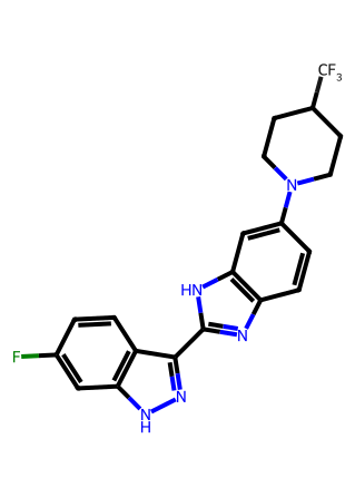 Fc1ccc2c(-c3nc4ccc(N5CCC(C(F)(F)F)CC5)cc4[nH]3)n[nH]c2c1